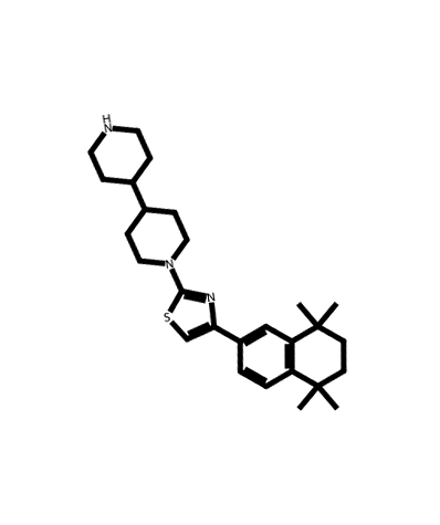 CC1(C)CCC(C)(C)c2cc(-c3csc(N4CCC(C5CCNCC5)CC4)n3)ccc21